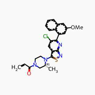 C=CC(=O)N1CCN(c2snc3nc(-c4cc(OC)cc5ccccc45)c(Cl)cc23)[C@H](C)C1